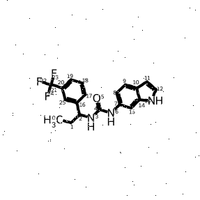 CCC(NC(=O)Nc1ccc2cc[nH]c2c1)c1cccc(C(F)(F)F)c1